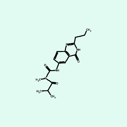 CCCc1nc2ccc(NC(=O)N(C)C(=O)C(C)C)cc2c(=O)[nH]1